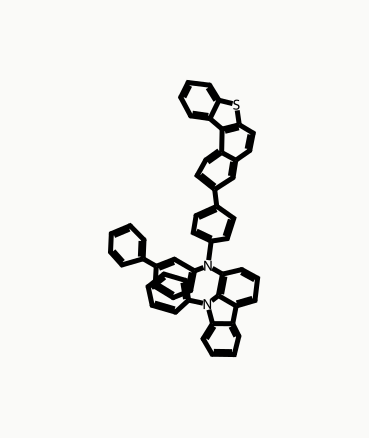 c1ccc(-c2cccc(N(c3ccc(-c4ccc5c(ccc6sc7ccccc7c65)c4)cc3)c3cccc4c5ccccc5n(-c5ccccc5)c34)c2)cc1